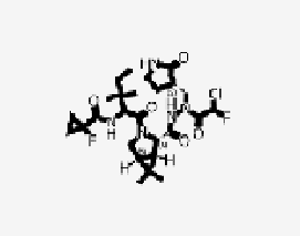 CCC(C)(C)C(NC(=O)C1(F)CC1)C(=O)N1C[C@H]2[C@@H]([C@H]1C(=O)NN(C[C@@H]1CCNC1=O)C(=O)C(F)Cl)C2(C)C